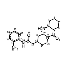 N[C@H]1CCCC[C@@H]1C(=O)N1CCC(CC(=O)Nc2ncccc2C(F)(F)F)CC1